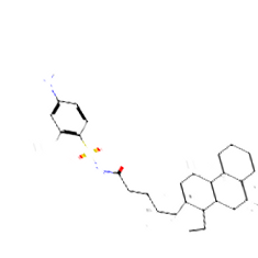 CCNc1ccc(S(=O)(=O)NC(=O)CC[C@@H](C)[C@H]2CCC3C4C[C@H](CC)[C@@H]5CCCC[C@]5(C)C4CC[C@@]32C)c(C)c1